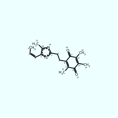 C/C=C\c1sc(CCC2=C(C)C(=O)C(C)=C(C)C2=O)nc1C